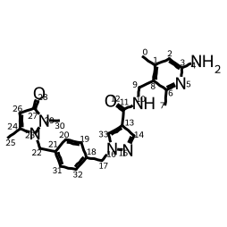 Cc1cc(N)nc(C)c1CNC(=O)c1cnn(Cc2ccc(Cn3c(C)cc(=O)n3C)cc2)c1